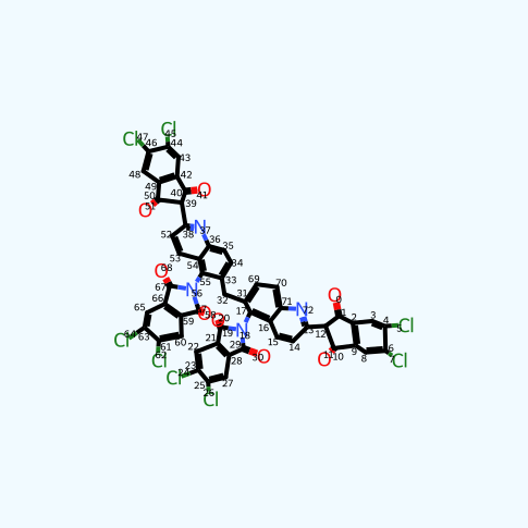 O=C1c2cc(Cl)c(Cl)cc2C(=O)C1c1ccc2c(N3C(=O)c4cc(Cl)c(Cl)cc4C3=O)c(Cc3ccc4nc(C5C(=O)c6cc(Cl)c(Cl)cc6C5=O)ccc4c3N3C(=O)c4cc(Cl)c(Cl)cc4C3=O)ccc2n1